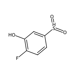 O=[SH](=O)c1ccc(F)c(O)c1